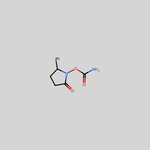 CC(C)C1CCC(=O)N1OC(N)=O